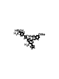 COc1ccc(CNc2nc(-c3ncco3)c(C)c3nc([C@H]4C[C@@H](c5ccc(C(C)(C)O)cn5)C4)nn23)c(OC)c1